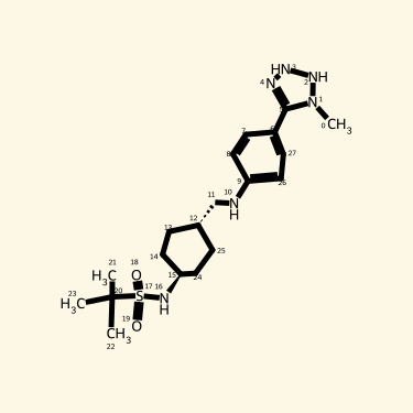 CN1NNN=C1c1ccc(NC[C@H]2CC[C@H](NS(=O)(=O)C(C)(C)C)CC2)cc1